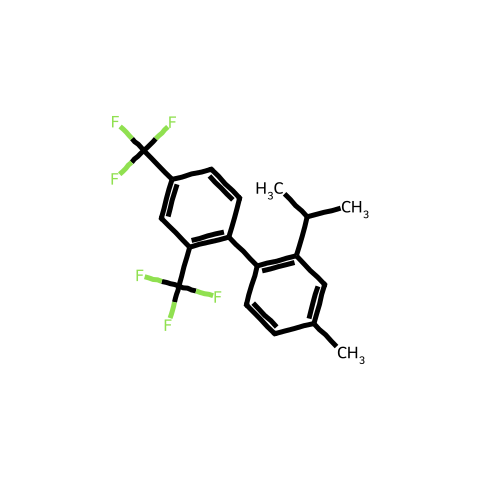 Cc1ccc(-c2ccc(C(F)(F)F)cc2C(F)(F)F)c(C(C)C)c1